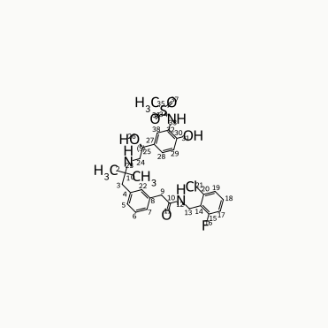 CC(C)(Cc1cccc(CC(=O)NCc2c(F)cccc2Cl)c1)NC[C@@H](O)c1ccc(O)c(NS(C)(=O)=O)c1